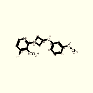 O=C(O)c1c(F)ccnc1N1CC(Oc2cccc(OC(F)(F)F)c2)C1